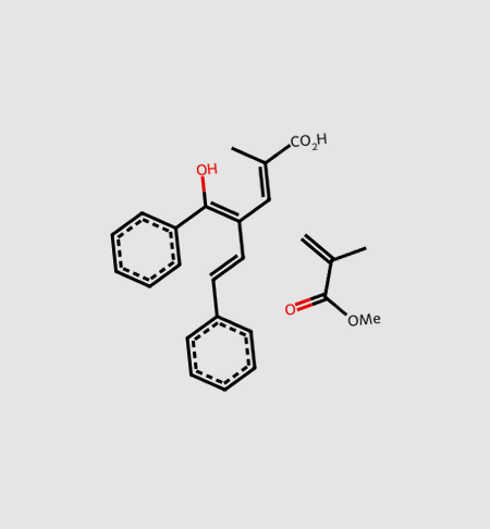 C=C(C)C(=O)OC.CC(=CC(C=Cc1ccccc1)=C(O)c1ccccc1)C(=O)O